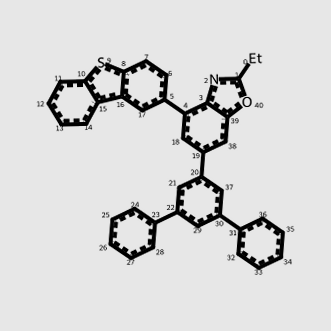 CCc1nc2c(-c3ccc4sc5ccccc5c4c3)cc(-c3cc(-c4ccccc4)cc(-c4ccccc4)c3)cc2o1